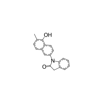 Cc1ccc2cc(N3C(=O)Cc4ccccc43)ccc2c1O